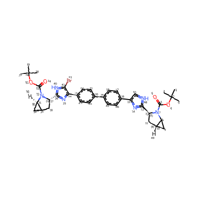 CC(C)(C)OC(=O)N1C2C[C@@H]2C[C@H]1c1nc(-c2ccc(-c3ccc(-c4nc([C@@H]5CC6C[C@H]6N5C(=O)OC(C)(C)C)[nH]c4Br)cc3)cc2)c[nH]1